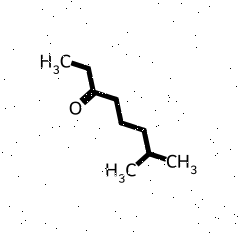 CCC(=O)CCCC(C)C